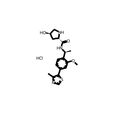 COc1cc(-c2scnc2C)ccc1[C@H](C)NC(=O)[C@@H]1C[C@@H](O)CN1.Cl